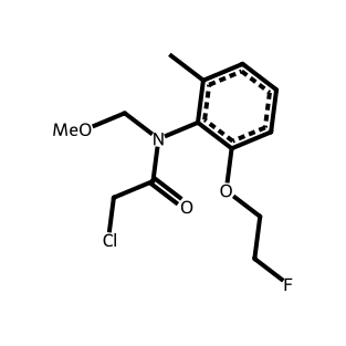 COCN(C(=O)CCl)c1c(C)cccc1OCCF